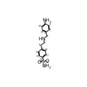 Nc1ccc(CNCCc2ccc(S(N)(=O)=O)cc2)cc1